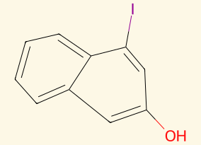 Oc1cc(I)c2ccccc2c1